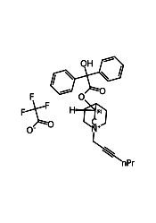 CCCC#CC[N+]12CCC(CC1)[C@@H](OC(=O)C(O)(c1ccccc1)c1ccccc1)C2.O=C([O-])C(F)(F)F